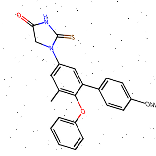 COc1ccc(-c2cc(N3CC(=O)NC3=S)cc(C)c2Oc2ccccc2)cc1